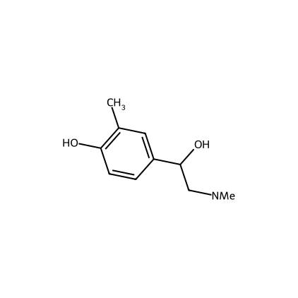 CNCC(O)c1ccc(O)c(C)c1